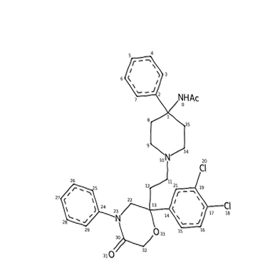 CC(=O)NC1(c2ccccc2)CCN(CCC2(c3ccc(Cl)c(Cl)c3)CN(c3ccccc3)C(=O)CO2)CC1